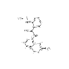 CCNc1ccccc1C(=O)Nc1cccc2ccc(C)nc12